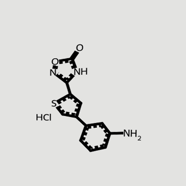 Cl.Nc1cccc(-c2csc(-c3noc(=O)[nH]3)c2)c1